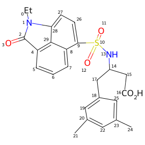 CCN1C(=O)c2cccc3c(S(=O)(=O)NC(CC(=O)O)Cc4cc(C)cc(C)c4)ccc1c23